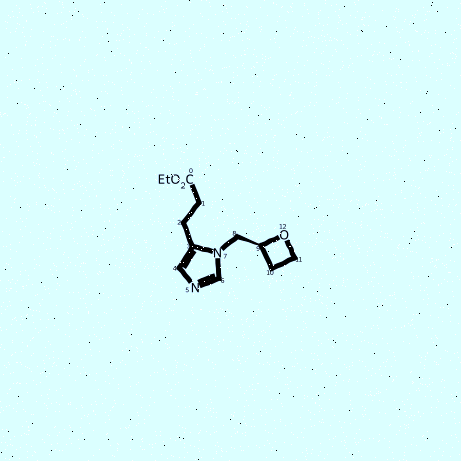 CCOC(=O)CCc1cncn1C[C@@H]1CCO1